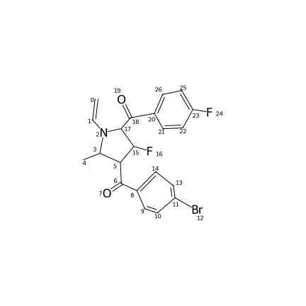 C=CN1C(C)C(C(=O)c2ccc(Br)cc2)C(F)C1C(=O)c1ccc(F)cc1